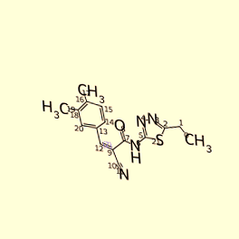 CCc1nnc(NC(=O)/C(C#N)=C\c2ccc(C)c(C)c2)s1